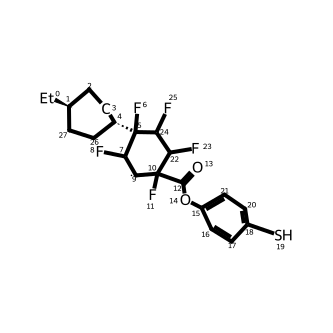 CC[C@H]1CC[C@H](C2(F)C(F)[CH]C(F)(C(=O)Oc3ccc(S)cc3)C(F)C2F)CC1